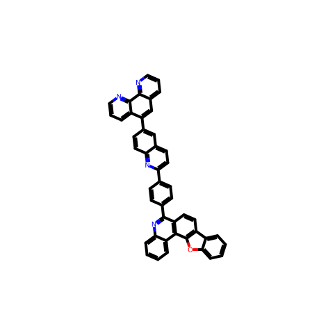 c1cnc2c(c1)cc(-c1ccc3nc(-c4ccc(-c5nc6ccccc6c6c5ccc5c7ccccc7oc56)cc4)ccc3c1)c1cccnc12